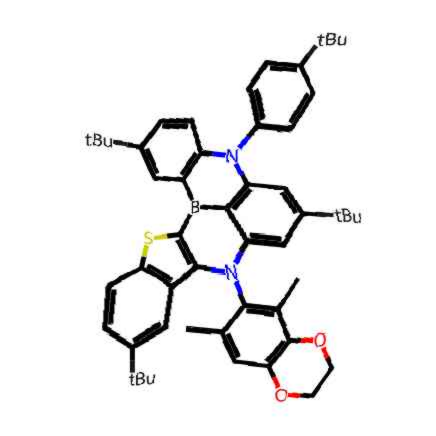 Cc1cc2c(c(C)c1N1c3cc(C(C)(C)C)cc4c3B(c3cc(C(C)(C)C)ccc3N4c3ccc(C(C)(C)C)cc3)c3sc4ccc(C(C)(C)C)cc4c31)OCCO2